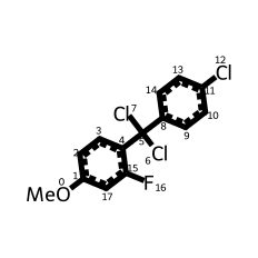 COc1ccc(C(Cl)(Cl)c2ccc(Cl)cc2)c(F)c1